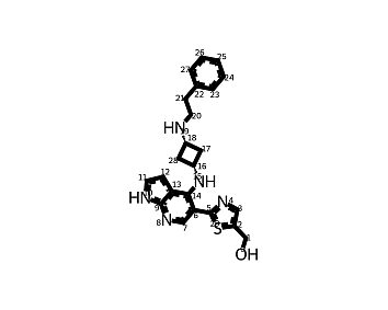 OCc1cnc(-c2cnc3[nH]ccc3c2N[C@H]2C[C@@H](NCCc3ccccc3)C2)s1